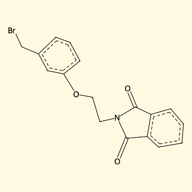 O=C1c2ccccc2C(=O)N1CCOc1cccc(CBr)c1